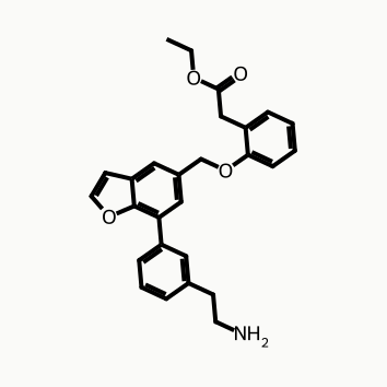 CCOC(=O)Cc1ccccc1OCc1cc(-c2cccc(CCN)c2)c2occc2c1